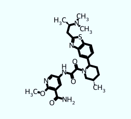 COc1ncc(NC(=O)C(=O)N2C[C@@H](C)CCC2c2ccc3sc(C[C@@H](C)N(C)C)nc3c2)cc1C(N)=O